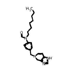 CCCCCCCCN(C=O)c1ccc(CN2C=Cc3[nH]cnc3C2)cc1